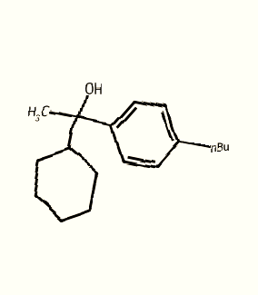 CCCCc1ccc(C(C)(O)C2CCCCC2)cc1